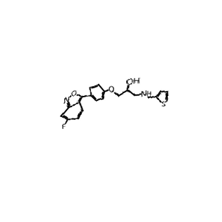 OC(CNCc1cccs1)COc1ccc(-c2onc3cc(F)ccc23)cc1